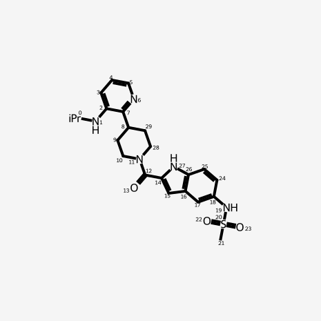 CC(C)Nc1cccnc1C1CCN(C(=O)c2cc3cc(NS(C)(=O)=O)ccc3[nH]2)CC1